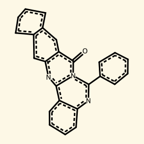 O=c1c2cc3ccccc3cc2nc2c3ccccc3nc(-c3ccccc3)n12